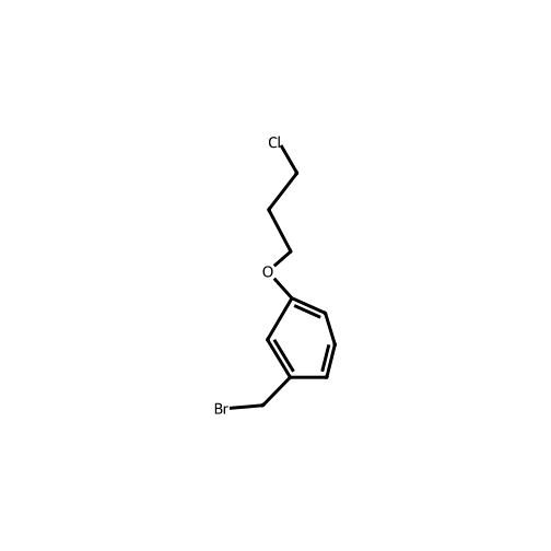 ClCCCOc1cccc(CBr)c1